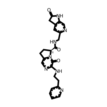 O=C1Cc2cc(CNC(=O)[C@@H]3CCc4cnc(NCCc5ccccn5)c(=O)n43)ncc2N1